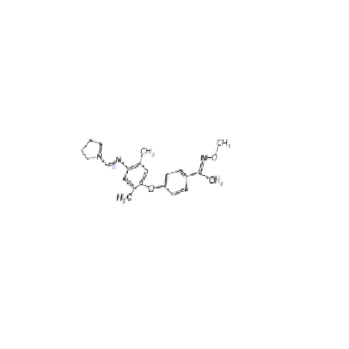 CON=C(C)c1ccc(Oc2cc(C)c(/N=C/N3CCCC3)cc2C)cc1